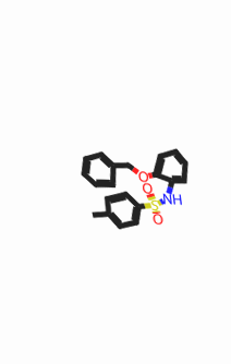 Cc1ccc(S(=O)(=O)Nc2ccccc2OCc2ccccc2)cc1